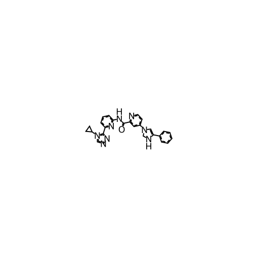 O=C(Nc1cccc(-c2nncn2C2CC2)n1)c1cc(N2C=C(c3ccccc3)NC2)ccn1